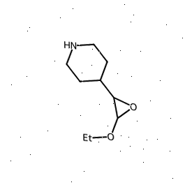 CCOC1OC1C1CCNCC1